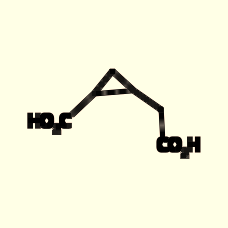 O=C(O)CC1CC1C(=O)O